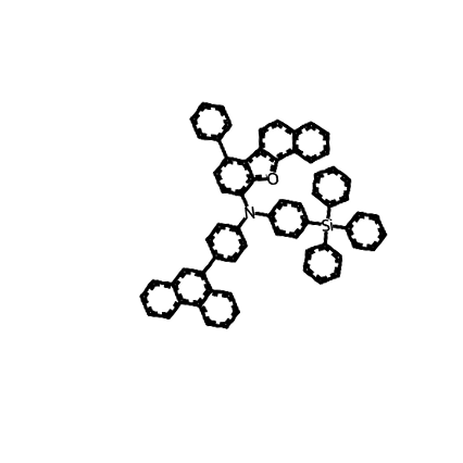 c1ccc(-c2ccc(N(c3ccc(-c4cc5ccccc5c5ccccc45)cc3)c3ccc([Si](c4ccccc4)(c4ccccc4)c4ccccc4)cc3)c3oc4c5ccccc5ccc4c23)cc1